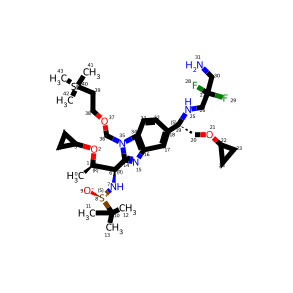 C[C@@H](OC1CC1)[C@H](N[S@+]([O-])C(C)(C)C)c1nc2cc([C@@H](COC3CC3)NCC(F)(F)CN)ccc2n1COCC[Si](C)(C)C